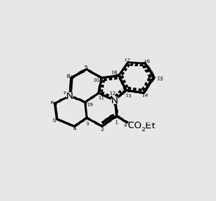 CCOC(=O)C1=CC2CCCN3CCc4c(n1c1ccccc41)C23